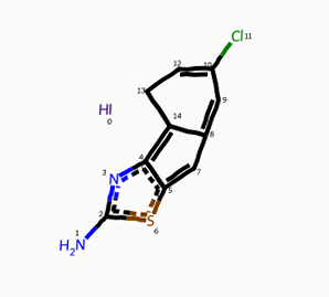 I.Nc1nc2c(s1)=CC1=CC(Cl)=CCC=21